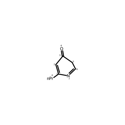 [CH2]CCC1=CC(=O)CC=N1